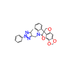 Cc1nn(-c2ccccc2)nc1CN1C(=O)C2(COc3cc4c(cc32)OCO4)c2ccccc21